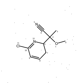 COC(C)(C#N)C1CC=CC(Cl)=N1